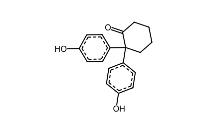 O=C1CCCCC1(c1ccc(O)cc1)c1ccc(O)cc1